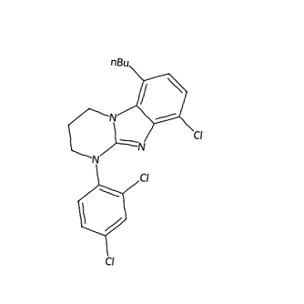 CCCCc1ccc(Cl)c2nc3n(c12)CCCN3c1ccc(Cl)cc1Cl